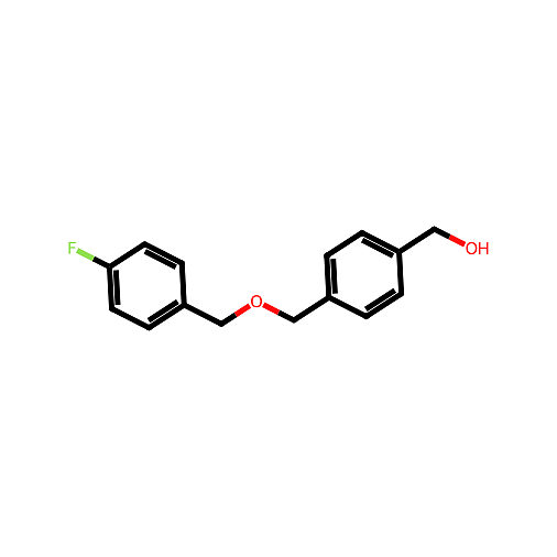 OCc1ccc(COCc2ccc(F)cc2)cc1